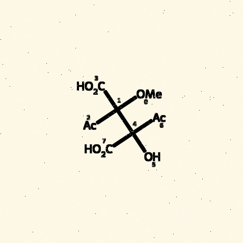 COC(C(C)=O)(C(=O)O)C(O)(C(C)=O)C(=O)O